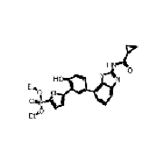 CCOP(=O)(OCC)c1ccc(-c2cc(-c3cccc4nc(NC(=O)C5CC5)sc34)ccc2O)o1